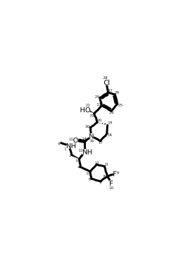 CNC[C@H](CC1CCC(F)(F)CC1)NC(=O)N1CCC[C@@H]([C@H](O)c2cccc(Cl)c2)C1